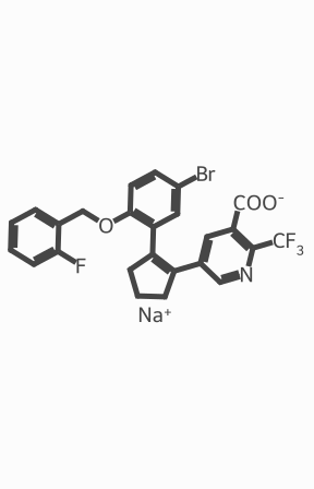 O=C([O-])c1cc(C2=C(c3cc(Br)ccc3OCc3ccccc3F)CCC2)cnc1C(F)(F)F.[Na+]